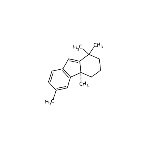 Cc1ccc2c(c1)C1(C)CCCC(C)(C)C1=C2